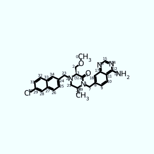 COC[C@H]1C(=O)N(Cc2ccc3c(N)ncnc3c2)[C@@H](C)CN1Cc1ccc2cc(Cl)ccc2c1